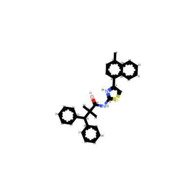 Cc1ccc(-c2csc(NC(=O)C(C)(C)C(c3ccccc3)c3ccccc3)n2)c2ccccc12